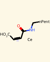 CCCCCCNC(=O)/C=C\C(=O)O.[Ce]